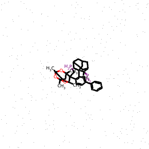 CC12CC3(C)OC(C)(CC(C)(O1)C3(CP)c1ccc(-c3ccccc3)cc1C13CC4CC(CC(C4)C1(C)P)C3)O2